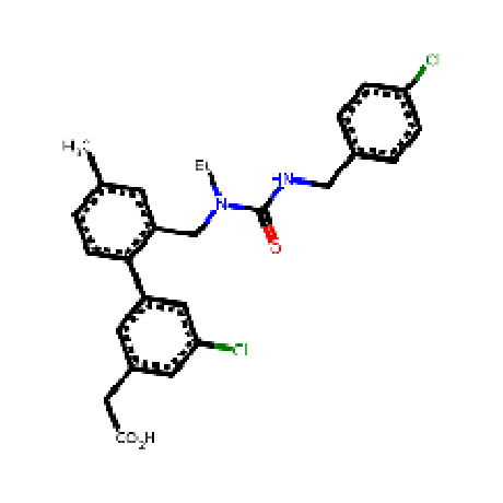 CCN(Cc1cc(C)ccc1-c1cc(Cl)cc(CC(=O)O)c1)C(=O)NCc1ccc(Cl)cc1